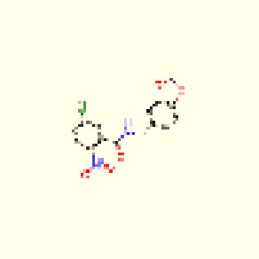 O=C(NCc1ccc2c(c1)OCO2)c1cc(Cl)ccc1[N+](=O)[O-]